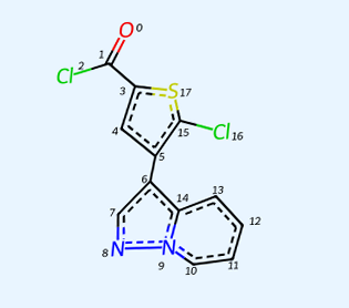 O=C(Cl)c1cc(-c2cnn3ccccc23)c(Cl)s1